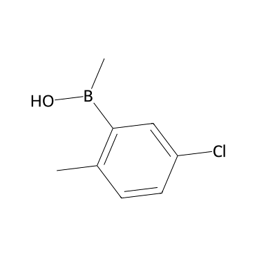 CB(O)c1cc(Cl)ccc1C